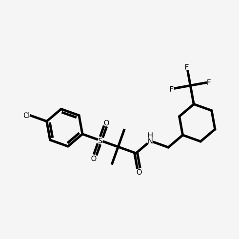 CC(C)(C(=O)NCC1CCCC(C(F)(F)F)C1)S(=O)(=O)c1ccc(Cl)cc1